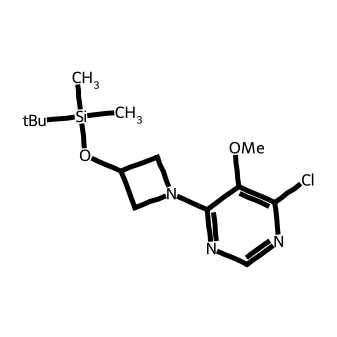 COc1c(Cl)ncnc1N1CC(O[Si](C)(C)C(C)(C)C)C1